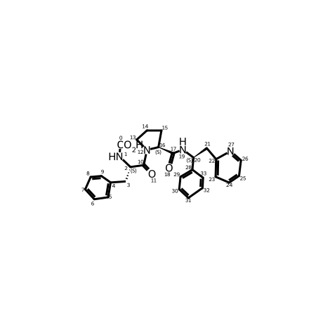 O=C(O)N[C@@H](Cc1ccccc1)C(=O)N1CCC[C@H]1C(=O)N[C@@H](Cc1ccccn1)c1ccccc1